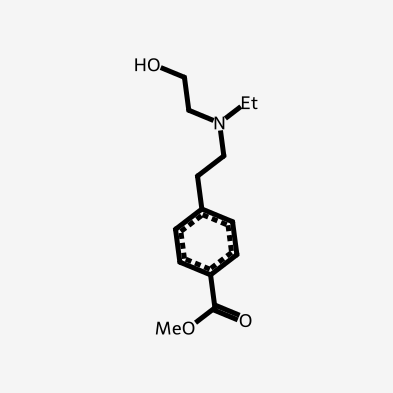 CCN(CCO)CCc1ccc(C(=O)OC)cc1